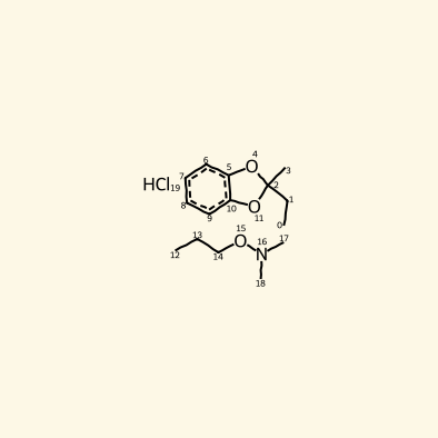 CCC1(C)Oc2ccccc2O1.CCCON(C)C.Cl